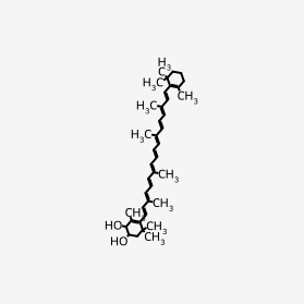 CC1=C(/C=C/C(C)=C/C=C/C(C)=C/C=C/C=C(C)/C=C/C=C(C)/C=C/C2=C(C)C(O)C(O)CC2(C)C)C(C)(C)CCC1